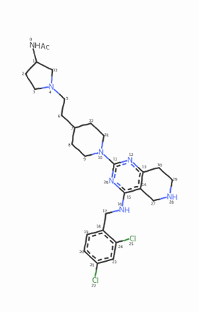 CC(=O)NC1CCN(CCC2CCN(c3nc4c(c(NCc5ccc(Cl)cc5Cl)n3)CNCC4)CC2)C1